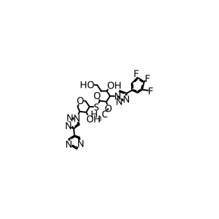 COC1C(SC2COCC(n3cc(-c4cncnc4)nn3)C2O)OC(CO)C(O)C1n1cc(-c2cc(F)c(F)c(F)c2)nn1